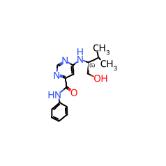 CC(C)[C@@H](CO)Nc1cc(C(=O)Nc2ccccc2)ncn1